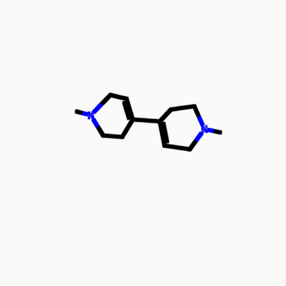 CN1CC=C(C2=CCN(C)CC2)CC1